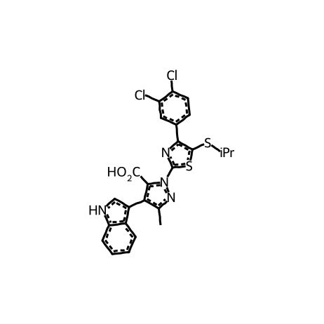 Cc1nn(-c2nc(-c3ccc(Cl)c(Cl)c3)c(SC(C)C)s2)c(C(=O)O)c1-c1c[nH]c2ccccc12